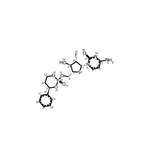 Nc1ccn([C@@H]2S[C@H](COP3(=O)OCC[C@H](c4ccccc4)O3)[C@@H](O)[C@@H]2F)c(=O)n1